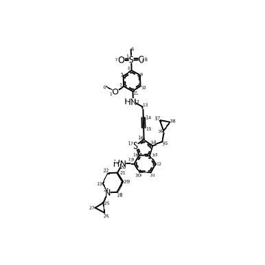 COc1cc(S(C)(=O)=O)ccc1NCC#Cc1sc2c(NC3CCN(C4CC4)CC3)cccc2c1CC1CC1